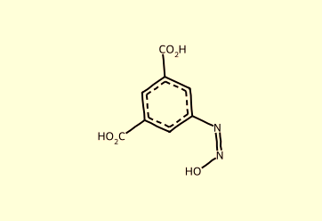 O=C(O)c1cc(/N=N\O)cc(C(=O)O)c1